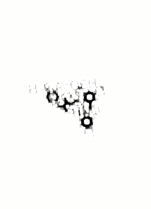 CC(=O)OC(C)Oc1cc(Cl)cc(C(=O)Nc2ccc(Cl)cc2)c1NC(=O)c1scc(CN2CCN(C)CC2)c1Cl